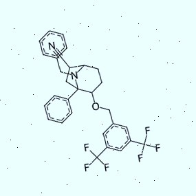 N#CC1CC2(c3ccccc3)C(OCc3cc(C(F)(F)F)cc(C(F)(F)F)c3)CCC1N2Cc1ccccc1